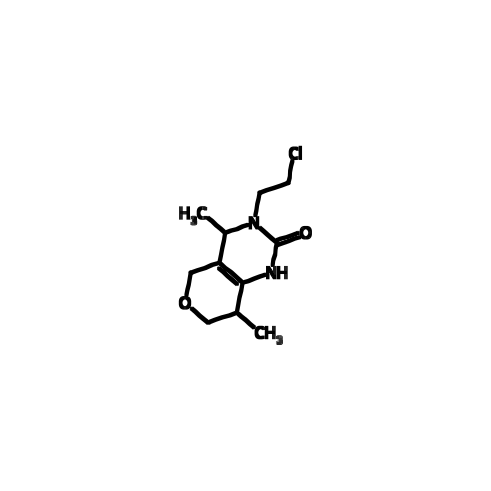 CC1COCC2=C1NC(=O)N(CCCl)C2C